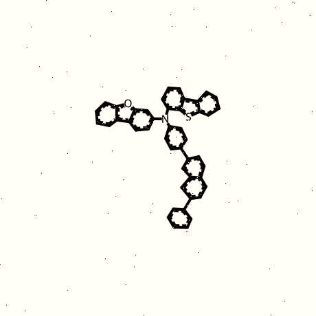 c1ccc(-c2ccc3ccc(-c4ccc(N(c5ccc6c(c5)oc5ccccc56)c5cccc6c5sc5ccccc56)cc4)cc3c2)cc1